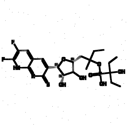 CCC(C)(C[C@H]1O[C@@H](c2cc3cc(F)c(F)[nH]c-3nc2=S)[C@@H](O)C1O)OP(=O)(O)C(O)(CC)CC